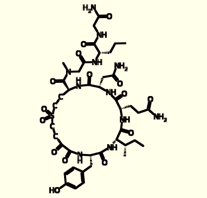 CCC[C@H](NC(=O)CN(C)C(=O)[C@@H]1CCS(=O)(=O)CCC(=O)C(=O)N[C@@H](Cc2ccc(O)cc2)C(=O)N[C@@H]([C@@H](C)CC)C(=O)N[C@@H](CCC(N)=O)C(=O)N[C@@H](CC(N)=O)C(=O)N1)C(=O)NCC(N)=O